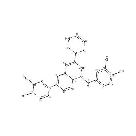 Fc1ccc(NC2NC(C3CC=CNC3)=NC3C=C(C4=CC(F)C(F)C=C4)C=CC32)cc1Cl